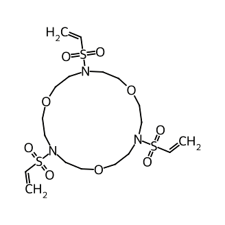 C=CS(=O)(=O)N1CCOCCN(S(=O)(=O)C=C)CCOCCN(S(=O)(=O)C=C)CCOCC1